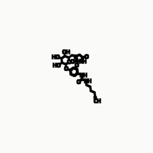 C#CCCCCNC(=O)Nc1ccc(O[C@H]2O[C@H](CN3CC(=O)NS3(=O)=O)[C@@H](O)[C@H](O)[C@@H]2O)cc1